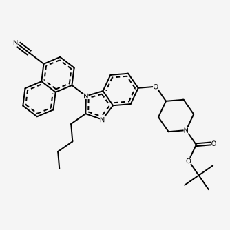 CCCCc1nc2cc(OC3CCN(C(=O)OC(C)(C)C)CC3)ccc2n1-c1ccc(C#N)c2ccccc12